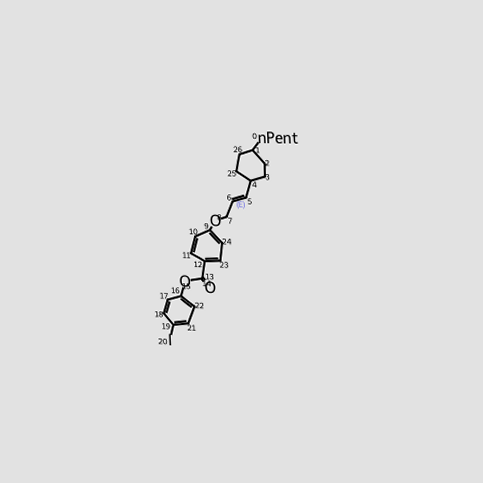 CCCCCC1CCC(/C=C/COc2ccc(C(=O)Oc3ccc(I)cc3)cc2)CC1